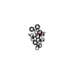 CCOC(=O)C1=C(C[P+](c2ccccc2)(c2ccccc2)c2ccccc2)NC(C)=C(C(=O)OC)C1c1cccc([N+](=O)[O-])c1.[Cl-]